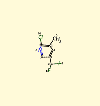 Cc1cc(C(F)F)cnc1Cl